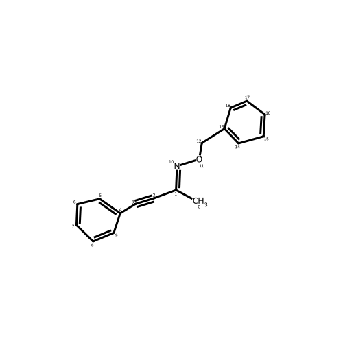 CC(C#Cc1ccccc1)=NOCc1ccccc1